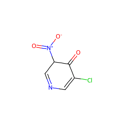 O=C1C(Cl)=CN=CC1[N+](=O)[O-]